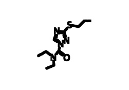 CCCSc1ncn(C(=O)N(CC)CC)n1